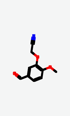 COc1ccc(C=O)cc1OCC#N